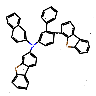 c1ccc(-c2cc(N(c3ccc4ccccc4c3)c3ccc4c(c3)sc3ccccc34)ccc2-c2cccc3c2sc2ccccc23)cc1